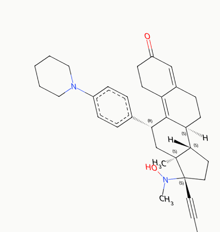 CC#C[C@]1(N(C)O)CC[C@H]2[C@@H]3CCC4=CC(=O)CCC4=C3[C@@H](c3ccc(N4CCCCC4)cc3)C[C@@]21C